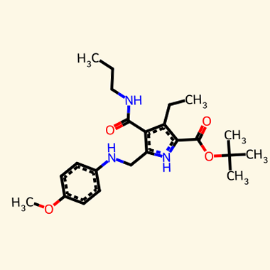 CCCNC(=O)c1c(CNc2ccc(OC)cc2)[nH]c(C(=O)OC(C)(C)C)c1CC